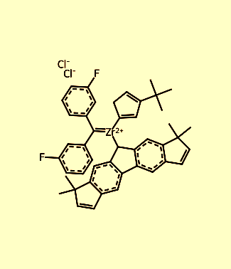 CC(C)(C)C1=CC[C]([Zr+2](=[C](c2cccc(F)c2)c2cccc(F)c2)[CH]2c3cc4c(cc3-c3cc5c(cc32)C(C)(C)C=C5)C=CC4(C)C)=C1.[Cl-].[Cl-]